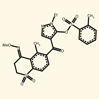 CCn1ncc(C(=O)c2ccc3c(c2C)C(=NOC)CCS3(=O)=O)c1OS(=O)(=O)c1ccccc1C